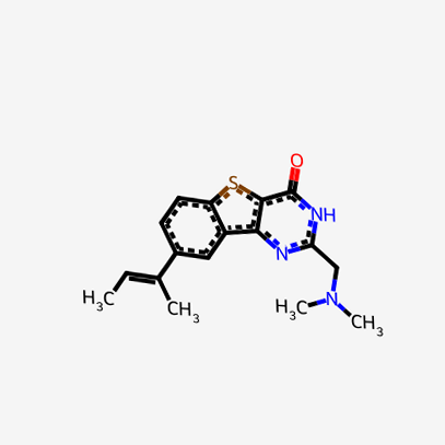 C/C=C(\C)c1ccc2sc3c(=O)[nH]c(CN(C)C)nc3c2c1